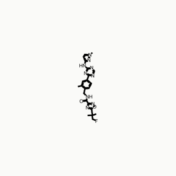 Cc1cc(-c2ncnc(Nc3ccn(C)n3)n2)ccc1CNC(=O)c1noc(C(C)(C)CF)n1